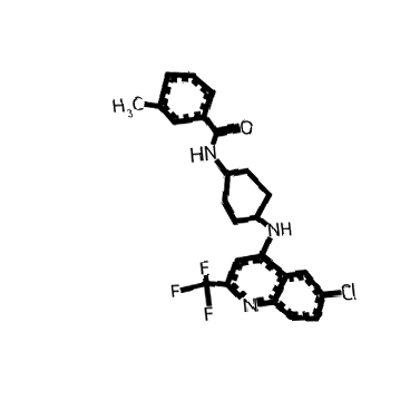 Cc1cccc(C(=O)NC2CCC(Nc3cc(C(F)(F)F)nc4ccc(Cl)cc34)CC2)c1